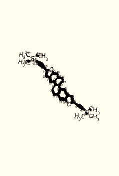 C[Si](C)(C)C#Cc1cc2cc3c(ccc4c5cc6cc(C#C[Si](C)(C)C)oc6cc5ccc34)cc2o1